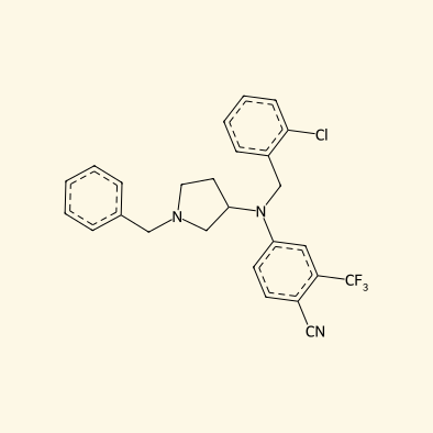 N#Cc1ccc(N(Cc2ccccc2Cl)C2CCN(Cc3ccccc3)C2)cc1C(F)(F)F